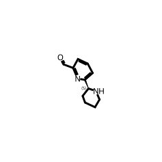 O=Cc1cccc([C@@H]2CCCCN2)n1